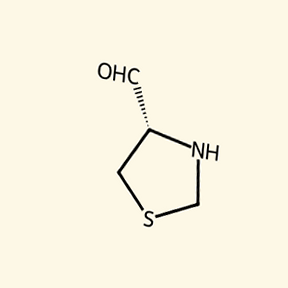 O=C[C@H]1CSCN1